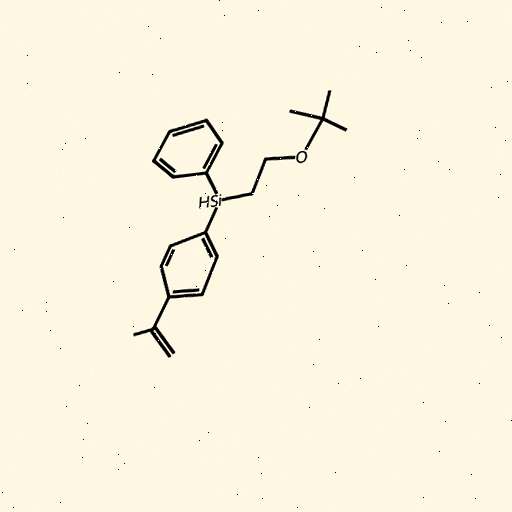 C=C(C)c1ccc([SiH](CCOC(C)(C)C)c2ccccc2)cc1